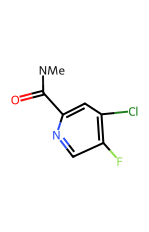 CNC(=O)c1cc(Cl)c(F)cn1